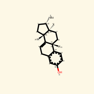 CCCC[C@H]1CC[C@H]2C3=CCc4cc(O)ccc4[C@H]3CC[C@]12C